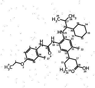 CCOc1ccc(NC(=O)Nc2cc(C(CC)CC(=O)O)c(F)cc2NC(C(C)C)C2CCCCC2)c(F)c1